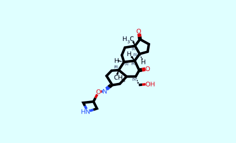 C[C@]12CCC(=NOC3CNC3)CC1[C@@H](CO)C(=O)[C@@H]1[C@@H]2CC[C@]2(C)C(=O)CC[C@@H]12